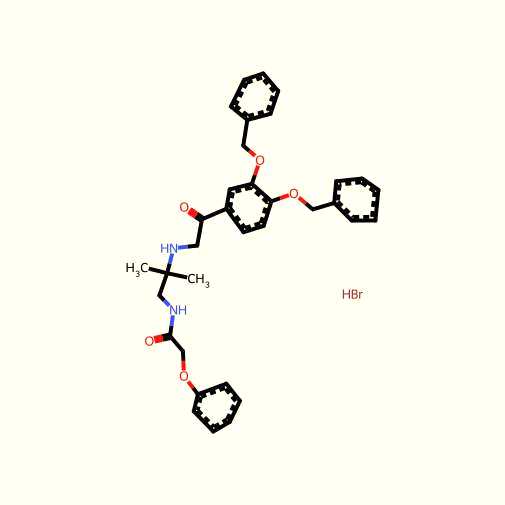 Br.CC(C)(CNC(=O)COc1ccccc1)NCC(=O)c1ccc(OCc2ccccc2)c(OCc2ccccc2)c1